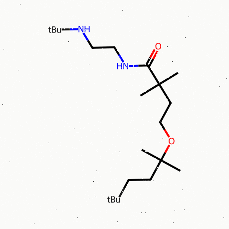 CC(C)(C)CCC(C)(C)OCCC(C)(C)C(=O)NCCNC(C)(C)C